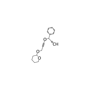 C#CC(OC#CCOC1CCCCO1)c1ccccc1